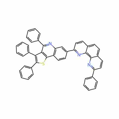 c1ccc(-c2ccc3ccc4ccc(-c5ccc6c(c5)nc(-c5ccccc5)c5c(-c7ccccc7)c(-c7ccccc7)sc56)nc4c3n2)cc1